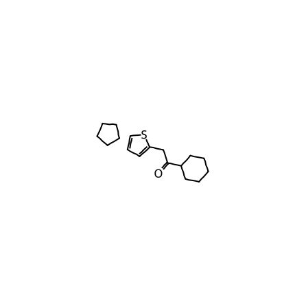 C1CCCC1.O=C(Cc1cccs1)C1CCCCC1